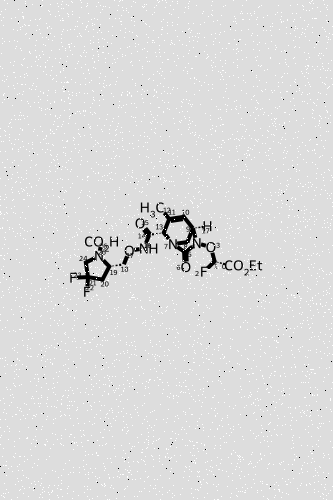 CCOC(=O)[C@H](F)ON1C(=O)N2C[C@H]1C=C(C)[C@H]2C(=O)NOC[C@@H]1CC(F)(F)CN1C(=O)O